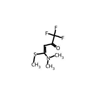 CSC(=CC(=O)C(F)(F)F)N(C)C